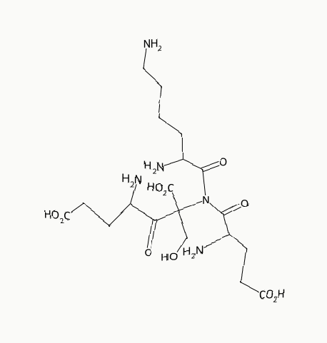 NCCCCC(N)C(=O)N(C(=O)C(N)CCC(=O)O)C(CO)(C(=O)O)C(=O)C(N)CCC(=O)O